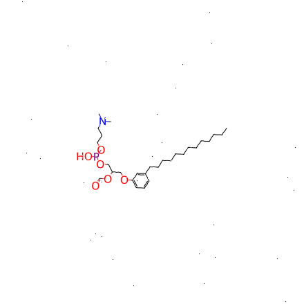 CCCCCCCCCCCCCc1cccc(OCC(COP(O)OCCCN(C)C)OC=O)c1